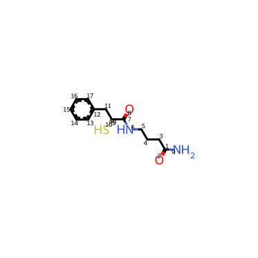 NC(=O)CCCNC(=O)[C@H](S)Cc1ccccc1